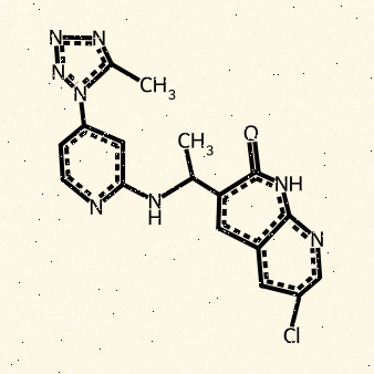 Cc1nnnn1-c1ccnc(NC(C)c2cc3cc(Cl)cnc3[nH]c2=O)c1